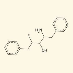 NC(Cc1ccccc1)C(O)C(F)Cc1ccccc1